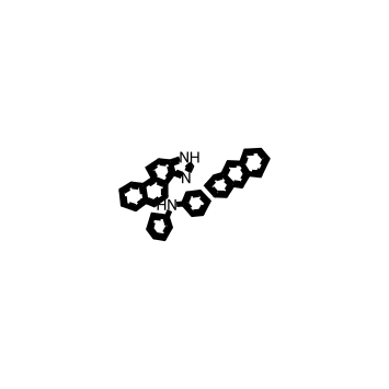 c1ccc(Nc2ccccc2)cc1.c1ccc2c(c1)ccc1c2ccc2[nH]cnc21.c1ccc2cc3ccccc3cc2c1